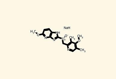 COc1ccc2[nH]c([S@+]([O-])Cc3ncc(C)c(OC)c3C)nc2n1.[NaH]